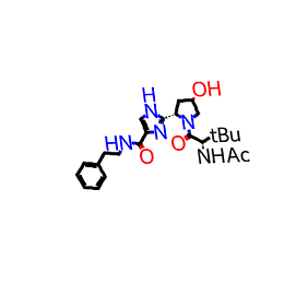 CC(=O)N[C@H](C(=O)N1C[C@H](O)C[C@H]1c1nc(C(=O)NCCc2ccccc2)c[nH]1)C(C)(C)C